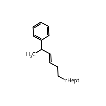 CCCCCCCCCC=CC(C)c1ccccc1